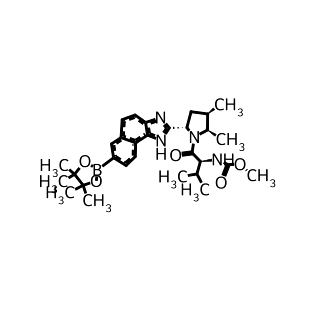 COC(=O)N[C@H](C(=O)N1[C@H](C)[C@H](C)C[C@H]1c1nc2ccc3cc(B4OC(C)(C)C(C)(C)O4)ccc3c2[nH]1)C(C)C